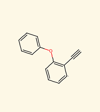 C#Cc1[c]cccc1Oc1ccccc1